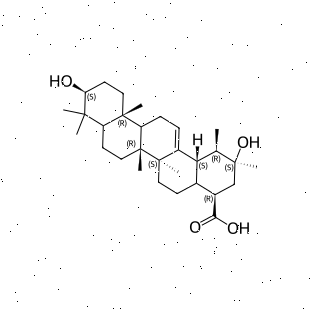 C[C@@H]1[C@H]2C3=CCC4[C@@]5(C)CC[C@H](O)C(C)(C)C5CC[C@@]4(C)[C@]3(C)CCC2[C@H](C(=O)O)C[C@]1(C)O